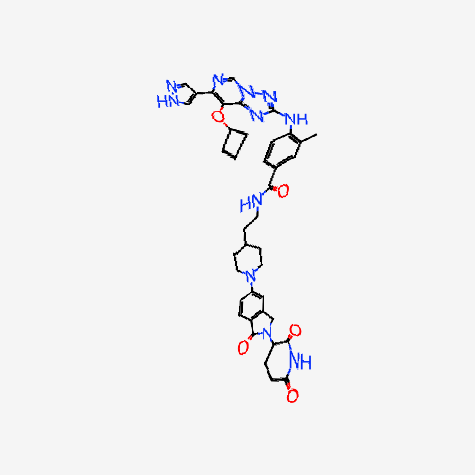 Cc1cc(C(=O)NCCC2CCN(c3ccc4c(c3)CN(C3CCC(=O)NC3=O)C4=O)CC2)ccc1Nc1nc2c(OC3CCC3)c(-c3cn[nH]c3)ncn2n1